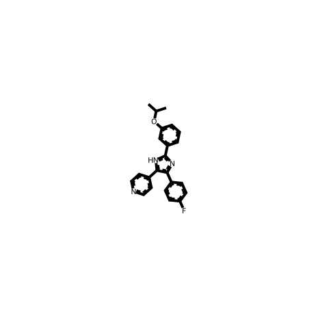 CC(C)Oc1cccc(-c2nc(-c3ccc(F)cc3)c(-c3ccncc3)[nH]2)c1